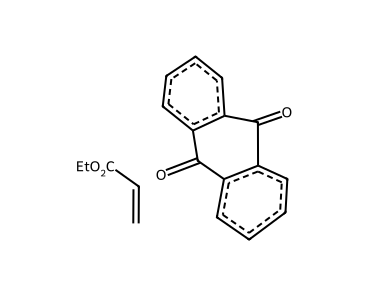 C=CC(=O)OCC.O=C1c2ccccc2C(=O)c2ccccc21